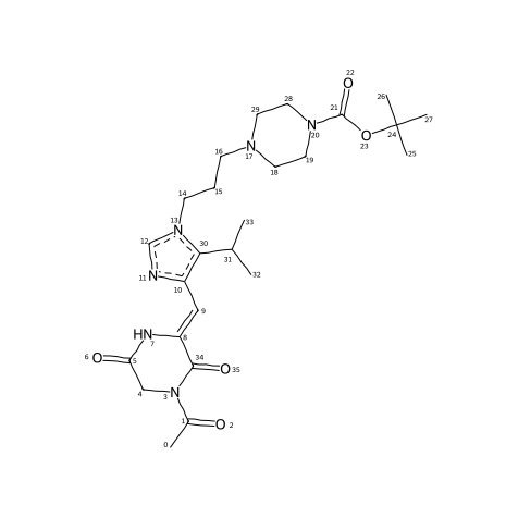 CC(=O)N1CC(=O)NC(=Cc2ncn(CCCN3CCN(C(=O)OC(C)(C)C)CC3)c2C(C)C)C1=O